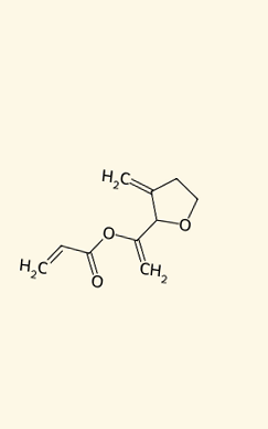 C=CC(=O)OC(=C)C1OCCC1=C